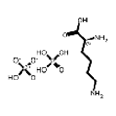 NCCCC[C@H](N)C(=O)O.O=P(O)(O)O.[O-][I+3]([O-])([O-])O